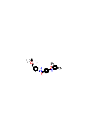 CC(C)c1cc(C#N)cc2nc(-c3ccc(C(=O)NC[C@H]4CC[C@H](CCOC(C)(C(F)(F)F)C(F)(F)F)CC4)cc3)oc12